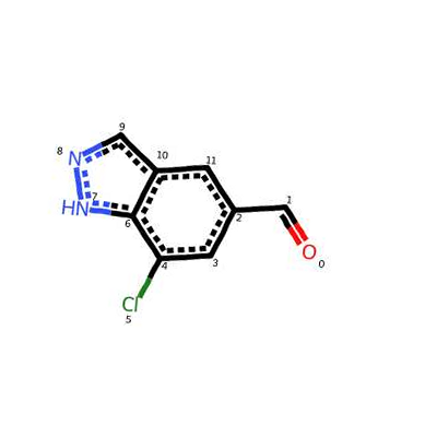 O=Cc1cc(Cl)c2[nH]ncc2c1